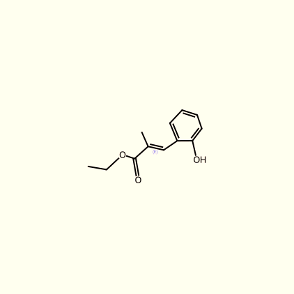 CCOC(=O)/C(C)=C/c1ccccc1O